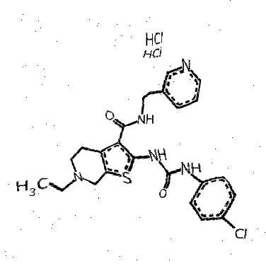 CCN1CCc2c(sc(NC(=O)Nc3ccc(Cl)cc3)c2C(=O)NCc2cccnc2)C1.Cl.Cl